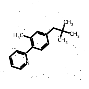 Cc1cc(CC(C)(C)C)ccc1-c1ccccn1